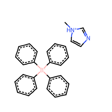 C[NH+]1C=CN=C1.c1ccc([B-](c2ccccc2)(c2ccccc2)c2ccccc2)cc1